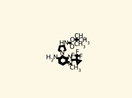 Cn1c(C2(C(F)(F)F)CC2)nc2c(N3CC[C@@H](NC(=O)OC(C)(C)C)C3)c(N)ccc21